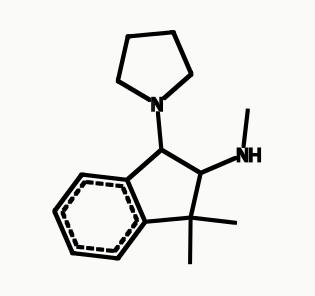 CNC1C(N2CCCC2)c2ccccc2C1(C)C